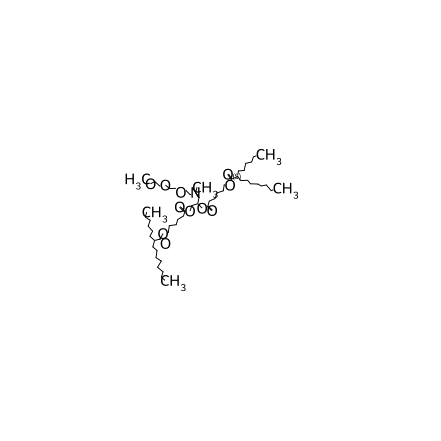 CCCCCCCCC(CCCCCC)C(=O)OCCCCCC(=O)OCC(CN(C)CCOCCOCCOC)OC(=O)CCCCCOC(=O)[C@@H](CCCCCC)CCCCCCCC